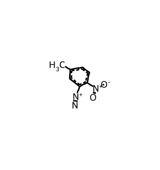 Cc1ccc([N+](=O)[O-])c([N+]#N)c1